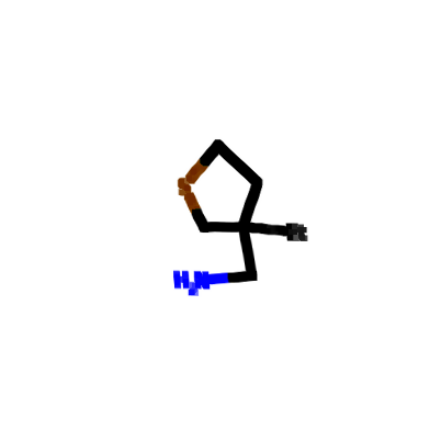 CCC1(CN)CCSC1